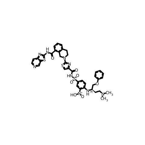 CN(C)CC[C@H](COc1ccccc1)Nc1ccc(S(=O)(=O)NC(=O)c2csc(N3CCc4cccc(C(=O)Nc5nc6ccncc6s5)c4C3)n2)cc1[N+](=O)O